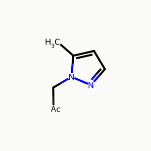 CC(=O)Cn1nccc1C